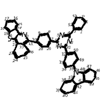 c1ccc(-c2nc(-c3ccc(-c4nc5c6ccccc6sc5c5ccccc45)cc3)nc(-c3ccc(-n4c5ccccc5c5ccccc54)cc3)n2)cc1